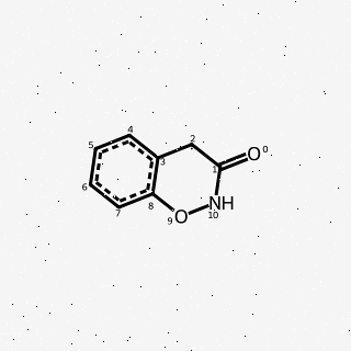 O=C1[CH]c2ccccc2ON1